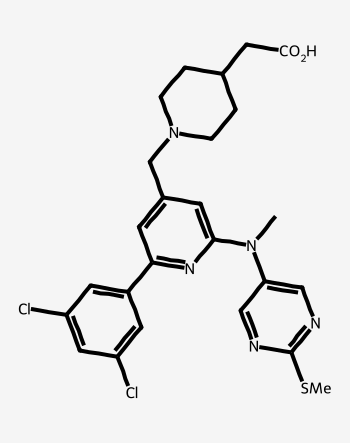 CSc1ncc(N(C)c2cc(CN3CCC(CC(=O)O)CC3)cc(-c3cc(Cl)cc(Cl)c3)n2)cn1